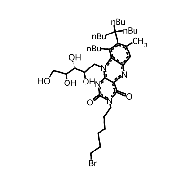 CCCCc1c(C(CCCC)(CCCC)CCCC)c(C)cc2nc3c(=O)n(CCCCCCBr)c(=O)nc-3n(C[C@@H](O)[C@@H](O)[C@@H](O)CO)c12